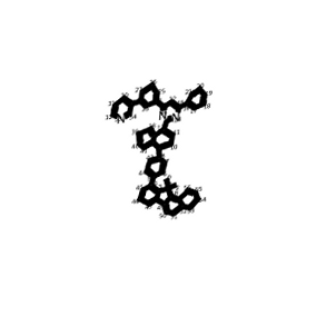 CC1(C)c2c(-c3ccc(-c4ccc(-c5nc(-c6ccccc6)cc(-c6cccc(-c7cccnc7)c6)n5)c5ccccc45)cc3)cccc2-c2ccc3ccccc3c21